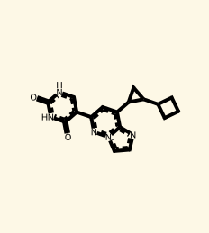 O=c1[nH]cc(-c2cc(C3CC3C3CCC3)c3nccn3n2)c(=O)[nH]1